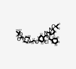 CC(C)Oc1ccc2c(n1)nc(-c1ccc(OCCN3CCN(C(=O)OC(C)(C)C)CC3)cc1Cl)n2Cc1ccccc1